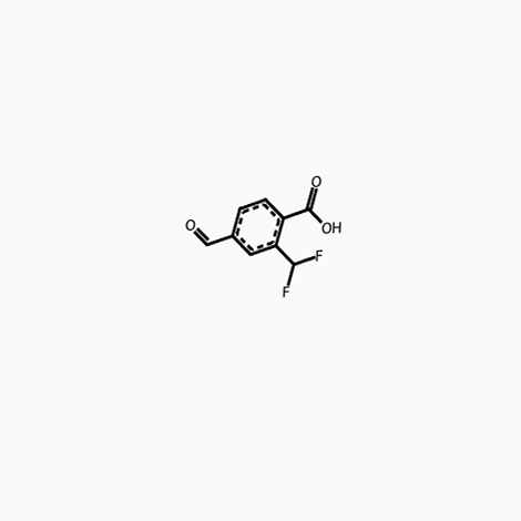 O=Cc1ccc(C(=O)O)c(C(F)F)c1